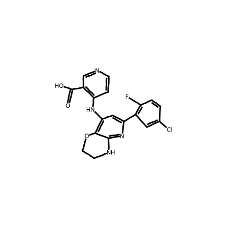 O=C(O)c1cnccc1Nc1cc(-c2cc(Cl)ccc2F)nc2c1OCCN2